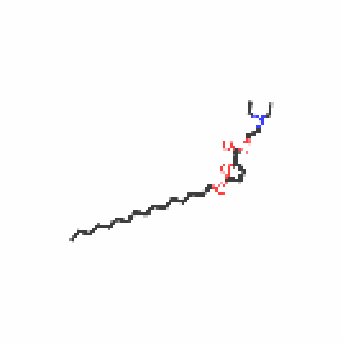 CCCCCCCCCCCCCCCCOc1ccc(C(=O)OCCN(CC)CC)o1